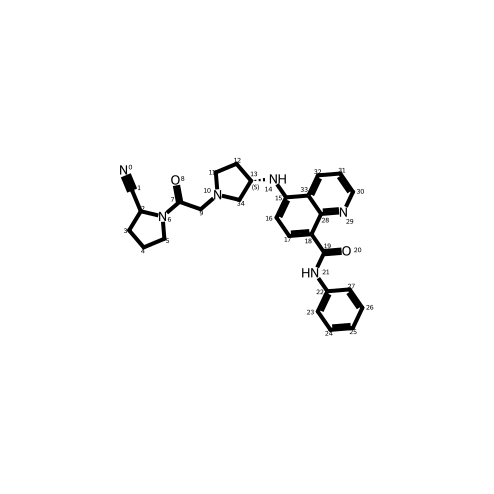 N#CC1CCCN1C(=O)CN1CC[C@H](Nc2ccc(C(=O)Nc3ccccc3)c3ncccc23)C1